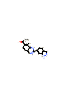 COC(=O)c1ccc2cnc(-c3ccc4cn[nH]c4c3)nc2c1C